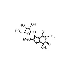 COc1nc2c(c(=O)n(C)c(=O)n2C)n1O[C@H]1O[C@H](CO)[C@@H](O)[C@H]1O